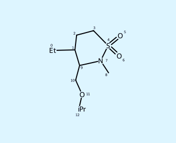 CCC1CCS(=O)(=O)N(C)C1COC(C)C